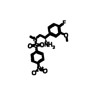 COc1cc([C@H](N)CN(C)S(=O)(=O)c2ccc([N+](=O)[O-])cc2)ccc1F